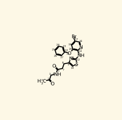 CC(=O)CNC(=O)CCc1csc(Nc2ncc(Br)cc2Oc2ccccc2)n1